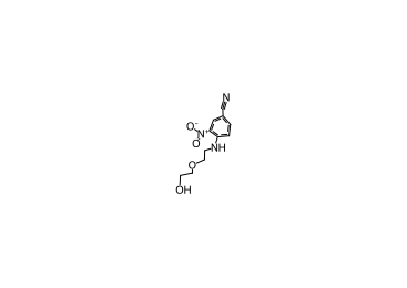 N#Cc1ccc(NCCOCCO)c([N+](=O)[O-])c1